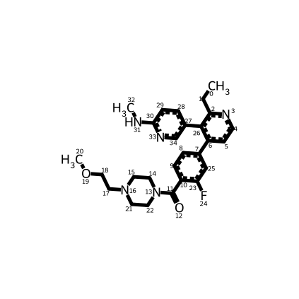 CCc1nccc(-c2ccc(C(=O)N3CCN(CCOC)CC3)c(F)c2)c1-c1ccc(NC)nc1